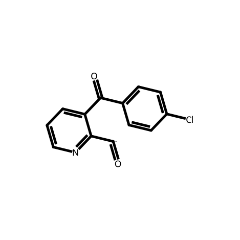 O=[C]c1ncccc1C(=O)c1ccc(Cl)cc1